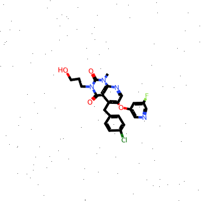 Cn1c(=O)n(CCCO)c(=O)c2c(Cc3ccc(Cl)cc3)c(Oc3cncc(F)c3)cnc21